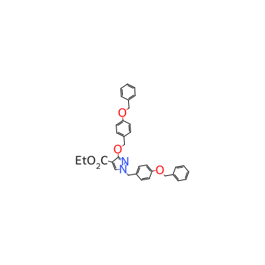 CCOC(=O)c1cn(Cc2ccc(OCc3ccccc3)cc2)nc1OCc1ccc(OCc2ccccc2)cc1